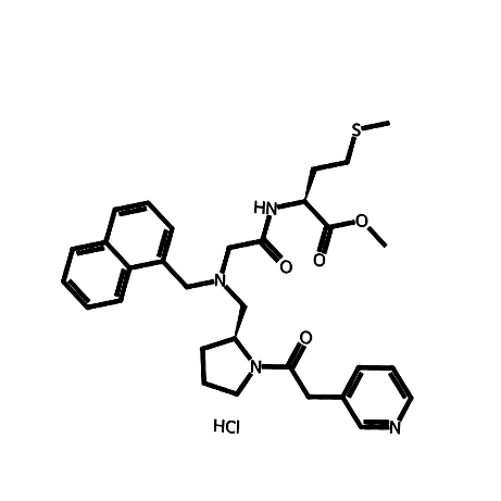 COC(=O)[C@H](CCSC)NC(=O)CN(Cc1cccc2ccccc12)C[C@@H]1CCCN1C(=O)Cc1cccnc1.Cl